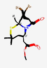 COC(=O)[C@@H]1N2C(=O)C(Br)(Br)[C@H]2SC1(C)C